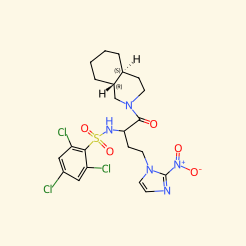 O=C(C(CCn1ccnc1[N+](=O)[O-])NS(=O)(=O)c1c(Cl)cc(Cl)cc1Cl)N1CC[C@@H]2CCCC[C@H]2C1